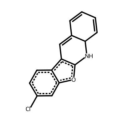 Clc1ccc2c3c(oc2c1)NC1C=CC=CC1=C3